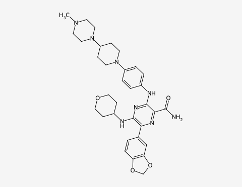 CN1CCN(C2CCN(c3ccc(Nc4nc(NC5CCOCC5)c(-c5ccc6c(c5)OCO6)nc4C(N)=O)cc3)CC2)CC1